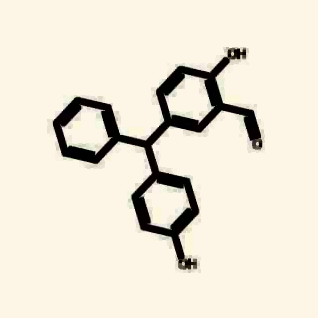 O=Cc1cc(C(c2ccccc2)c2ccc(O)cc2)ccc1O